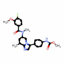 COC(=O)Nc1ccc(-c2cnc3c(C)cc(N(C)C(=O)c4ccc(F)c(OC)c4)cn23)cc1